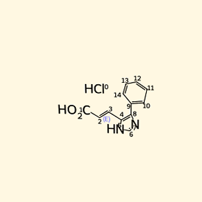 Cl.O=C(O)/C=C/c1[nH]cnc1-c1ccccc1